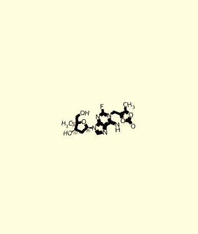 Cc1oc(=O)oc1Cn1c(F)nc2c(ncn2[C@H]2C[C@H](O)[C@@](C)(CO)O2)c1=N